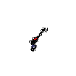 CC[C@@]1(OC(=O)OCCSSCCOC(O)Cl)C(=O)OCc2c1cc1n(c2=O)CC2=C/c3ccccc3CC/C=C\21